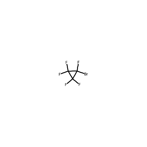 FC1(F)C(F)(F)C1(F)Br